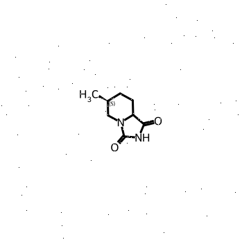 C[C@H]1CCC2C(=O)NC(=O)N2C1